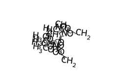 C=CCOC(=O)C(=O)N1C(=O)[C@H]([C@@](C)(O[SiH](C)C)C(C)(C)C)[C@H]1CC(=O)C1C[C@@H](C(=O)N(C)C)N(C(=O)OCC=C)C1